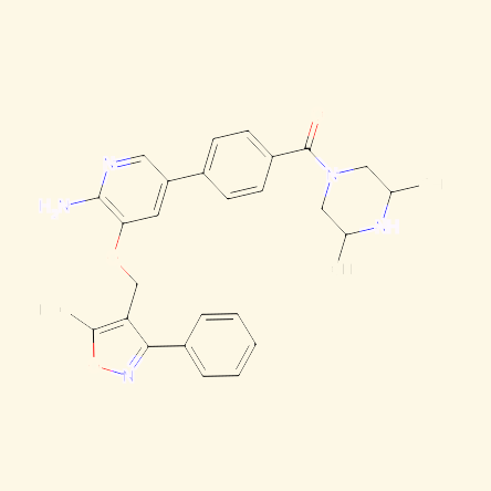 Cc1onc(-c2ccccc2)c1COc1cc(-c2ccc(C(=O)N3CC(C)NC(C)C3)cc2)cnc1N